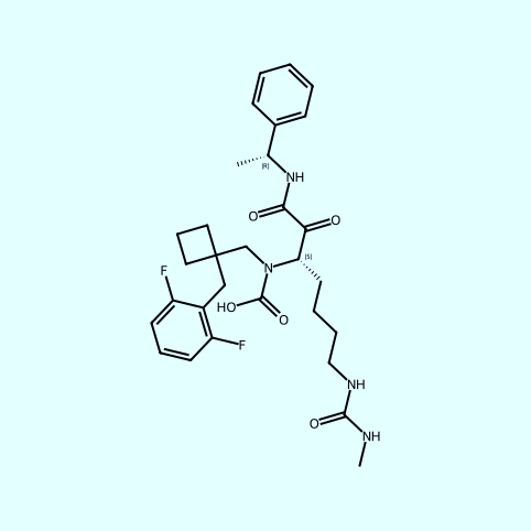 CNC(=O)NCCCC[C@@H](C(=O)C(=O)N[C@H](C)c1ccccc1)N(CC1(Cc2c(F)cccc2F)CCC1)C(=O)O